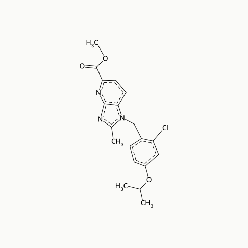 COC(=O)c1ccc2c(n1)nc(C)n2Cc1ccc(OC(C)C)cc1Cl